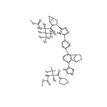 [2H]C([2H])([2H])C([2H])(C([2H])([2H])[2H])[C@]([2H])(NC(=O)OC)C(=O)N1C2CC2C[C@H]1c1ncc(-c2ccc(-c3ccc(-c4cnc([C@@H]5CCCN5C(=O)[C@]([2H])(NC(=O)OC)C([2H])(C)C)[nH]4)c4c3C3CCC4C3)cc2)[nH]1